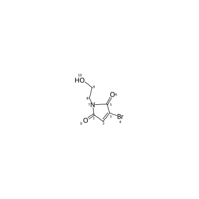 O=C1C=C(Br)C(=O)N1CCO